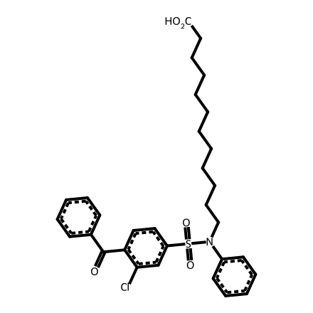 O=C(O)CCCCCCCCCCCN(c1ccccc1)S(=O)(=O)c1ccc(C(=O)c2ccccc2)c(Cl)c1